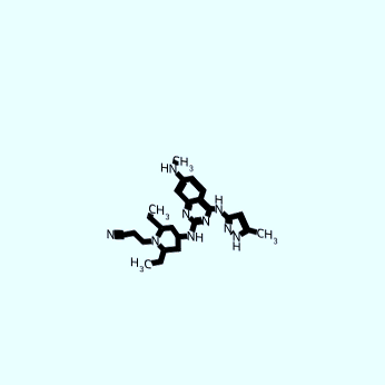 CCC1CC(Nc2nc(Nc3cc(C)[nH]n3)c3ccc(NC)cc3n2)CC(CC)N1CCC#N